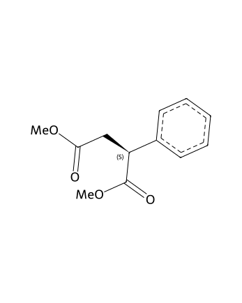 COC(=O)C[C@H](C(=O)OC)c1ccccc1